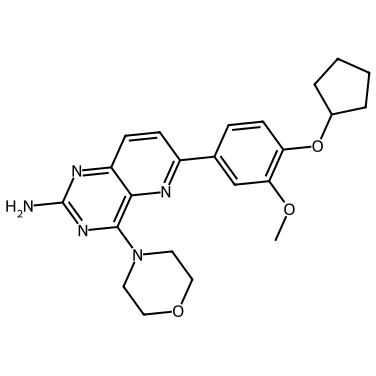 COc1cc(-c2ccc3nc(N)nc(N4CCOCC4)c3n2)ccc1OC1CCCC1